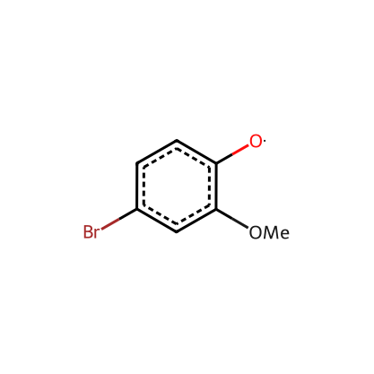 COc1cc(Br)ccc1[O]